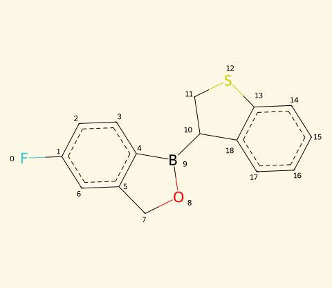 Fc1ccc2c(c1)COB2C1CSc2ccccc21